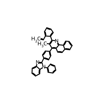 C=Cc1ccccc1-c1nc2c(ccc3ccccc32)c(-c2ccc(-c3nc4ccccc4n3-c3ccccc3)cc2)c1C